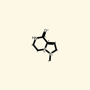 CN1CC=C2C(=O)NCCN21